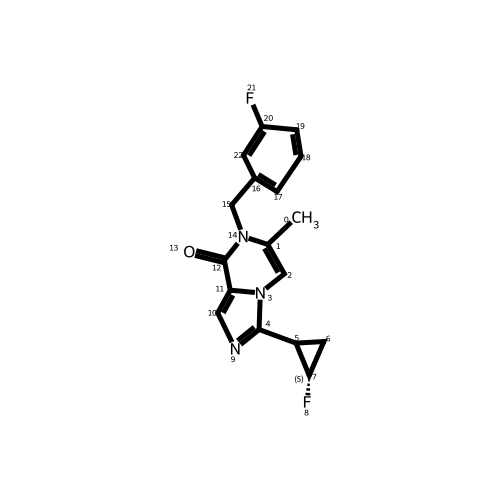 Cc1cn2c(C3C[C@@H]3F)ncc2c(=O)n1Cc1cccc(F)c1